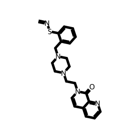 C=NSc1ccccc1CN1CCN(CCn2ccc3cccnc3c2=O)CC1